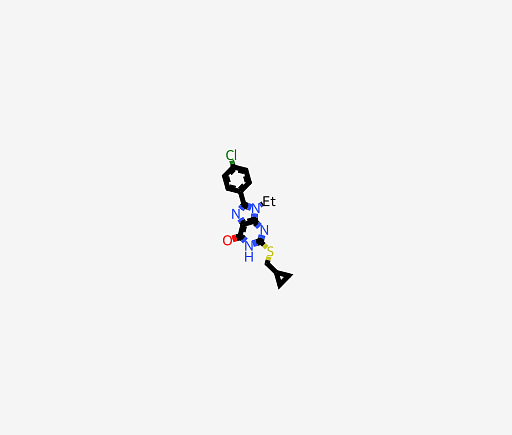 CCn1c(-c2ccc(Cl)cc2)nc2c(=O)[nH]c(SCC3CC3)nc21